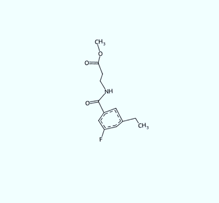 CCc1cc(F)cc(C(=O)NCCC(=O)OC)c1